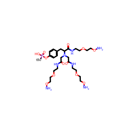 CC(C)(C)P(=O)(O)Oc1ccc(CC(C(=O)NCCOCCON)N(CC(=O)NCCOCCON)CC(=O)NCCOCCON)cc1